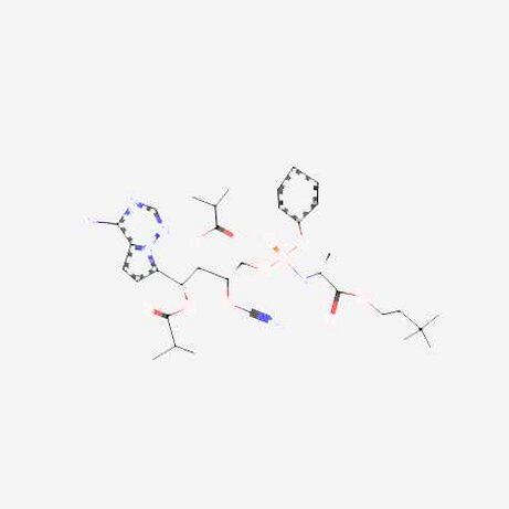 CC(C)C(=O)O[C@H]([C@@H](COP(=O)(N[C@@H](C)C(=O)OCCC(C)(C)C)Oc1ccccc1)OC#N)[C@@H](OC(=O)C(C)C)c1ccc2c(N)ncnn12